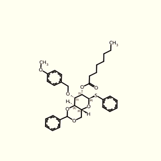 CCCCCCCC(=O)O[C@H]1[C@@H](OCc2ccc(OC)cc2)[C@@H]2OC(c3ccccc3)OC[C@H]2O[C@@H]1Sc1ccccc1